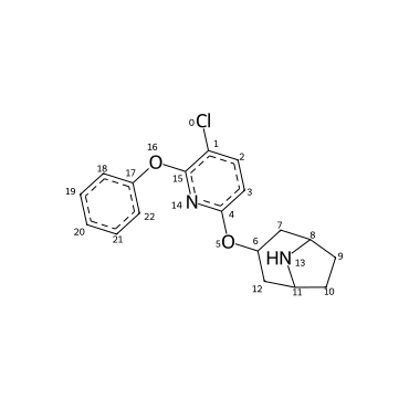 Clc1ccc(OC2CC3CCC(C2)N3)nc1Oc1ccccc1